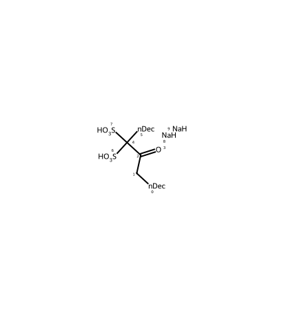 CCCCCCCCCCCC(=O)C(CCCCCCCCCC)(S(=O)(=O)O)S(=O)(=O)O.[NaH].[NaH]